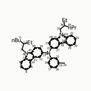 CCCCC(CC)Cn1c2ccccc2c2cc(N(c3cccc(C)c3)c3ccc4c(c3)c3ccccc3n4CC(CC)CCC)ccc21